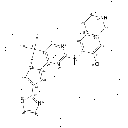 FC(F)(F)c1cnc(Nc2cc3c(cc2Cl)CNCC3)nc1-c1cc(-c2ncco2)cs1